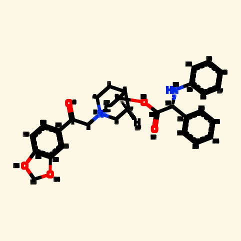 O=C(C[N+]12CCC(CC1)[C@@H](OC(=O)[C@H](Nc1ccccc1)c1ccccc1)C2)c1ccc2c(c1)OCO2